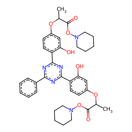 CC(Oc1ccc(-c2nc(-c3ccccc3)nc(-c3ccc(OC(C)C(=O)ON4CCCCC4)cc3O)n2)c(O)c1)C(=O)ON1CCCCC1